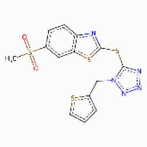 CS(=O)(=O)c1ccc2nc(Sc3nnnn3Cc3cccs3)sc2c1